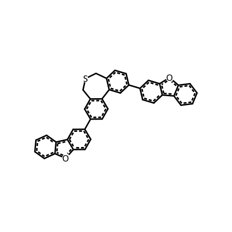 c1ccc2c(c1)oc1cc(-c3ccc4c(c3)-c3ccc(-c5ccc6oc7ccccc7c6c5)cc3CSC4)ccc12